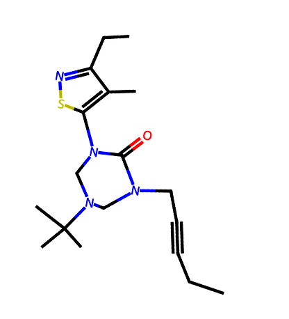 CCC#CCN1CN(C(C)(C)C)CN(c2snc(CC)c2C)C1=O